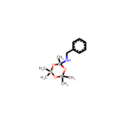 C[Si]1(C)O[Si](C)(C)O[Si](C)(NCc2ccccc2)O1